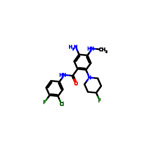 CNc1cc(N2CCC(F)CC2)c(C(=O)Nc2ccc(F)c(Cl)c2)cc1N